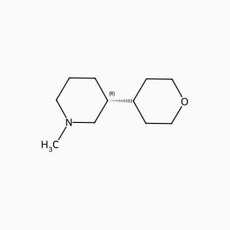 CN1CCC[C@H](C2CCOCC2)C1